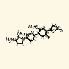 CCCCC1C(N)CCN1c1ccc(-c2cc(F)c(-c3cnc(C)s3)cc2OC)nn1